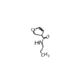 CCCNC(=O)C1C=COC1